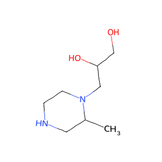 CC1CNCCN1CC(O)CO